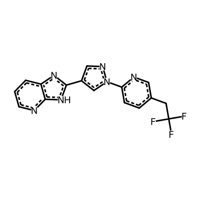 FC(F)(F)Cc1ccc(-n2cc(-c3nc4cccnc4[nH]3)cn2)nc1